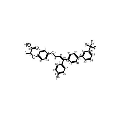 CC(Oc1ccc(SCC=C(c2ccc(F)cc2)c2ccc(-c3cccc(C(F)(F)F)c3)cc2)cc1)C(=O)O